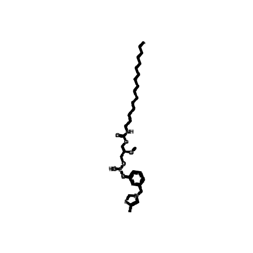 CCCCCCCCCCCCCCCCNC(=O)OCC(COP(O)Oc1cccc(CN2C=C(C)SC2)c1)OC